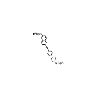 CCCCCCCc1ccc2cc(C#Cc3ccc([C@H]4CC[C@H](CCCCCCC)CC4)cc3)ccc2c1